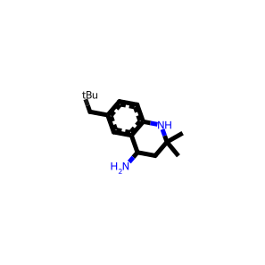 CC(C)(C)Cc1ccc2c(c1)C(N)CC(C)(C)N2